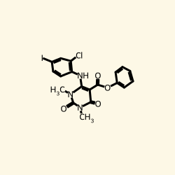 Cn1c(Nc2ccc(I)cc2Cl)c(C(=O)Oc2ccccc2)c(=O)n(C)c1=O